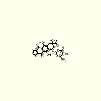 CC(=O)[C@@]1(O)Cc2c(O)c3c(c(O)c2[C@H](O[C@H]2C[C@H](N)[C@H](O)[C@H](C)O2)C1)C(=O)c1cscc1C3=O